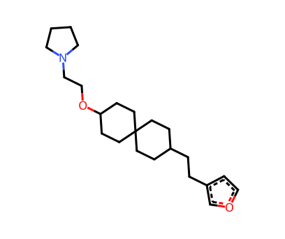 c1cc(CCC2CCC3(CC2)CCC(OCCN2CCCC2)CC3)co1